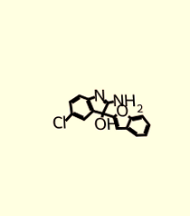 NC1=Nc2ccc(Cl)cc2C1(O)c1cc2ccccc2o1